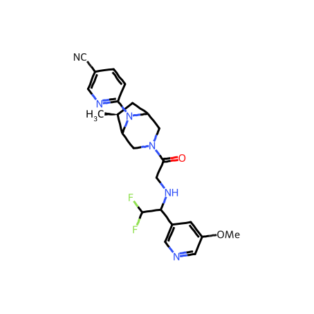 COc1cncc(C(NCC(=O)N2CC3C[C@H](C)C(C2)N3c2ccc(C#N)cn2)C(F)F)c1